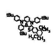 CC(C)(C)c1ccc(N2c3ccc(C(C)(C)C)cc3B3c4sc5cc6c(cc5c4N(c4ccc(C(C)(C)C)cc4)c4cccc2c43)C(C)(C)CCC6(C)C)cc1